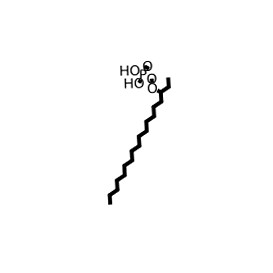 CCCCCCCCCCCCCCCC(CC)OOP(=O)(O)O